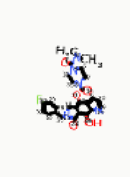 CN(C)C(=O)N1CCN(C(=O)Oc2c3c(c(O)c4ncccc24)C(=O)N(Cc2ccc(F)cc2)C3)CC1